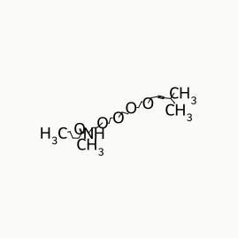 CCCC(C)C(=O)NCCOCCOCCOCCOCC#CC(C)CC